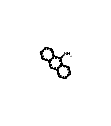 Nc1c2cc[c]cc2cc2ccccc12